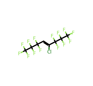 FC(F)(F)C(F)(F)C(F)(F)/C=C(\Cl)C(F)(F)C(F)(F)C(F)(F)F